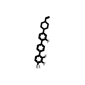 C=CC1CCC(c2ccc(-c3ccc(-c4ccc(CC)c(F)c4F)cc3)c(F)c2)CC1